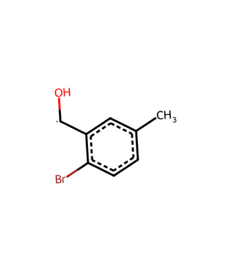 Cc1ccc(Br)c([CH]O)c1